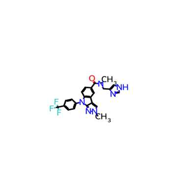 CN(Cc1c[nH]cn1)C(=O)c1ccc2c(c1)c1cn(C)nc1n2-c1ccc(C(F)(F)F)cc1